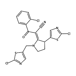 N#CC(C(=O)c1ccccc1Cl)=C1C(c2cnc(Cl)s2)CCN1Cc1cnc(Cl)s1